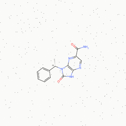 C[C@@H](c1ccccc1)n1c(=O)[nH]c2ncc(C(N)=O)nc21